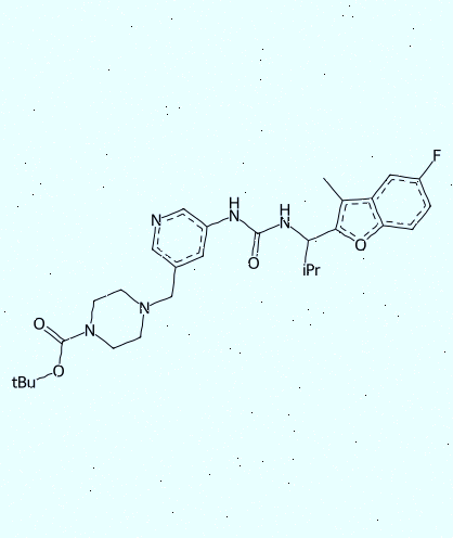 Cc1c(C(NC(=O)Nc2cncc(CN3CCN(C(=O)OC(C)(C)C)CC3)c2)C(C)C)oc2ccc(F)cc12